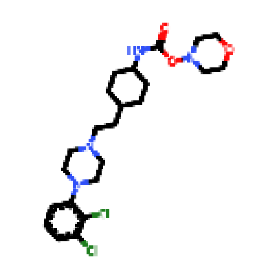 O=C(NC1CCC(CCN2CCN(c3cccc(Cl)c3Cl)CC2)CC1)ON1CCOCC1